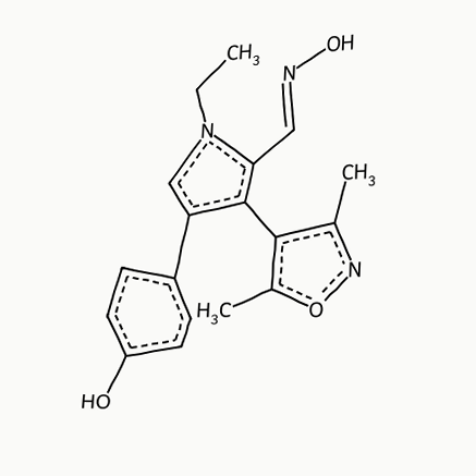 CCn1cc(-c2ccc(O)cc2)c(-c2c(C)noc2C)c1C=NO